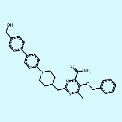 Cc1nc(CC2CCN(c3ccc(-c4ccc(CO)cc4)cc3)CC2)nc(C(N)=O)c1OCc1ccccc1